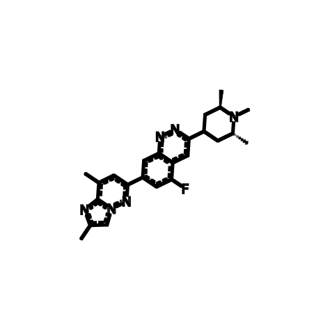 Cc1cn2nc(-c3cc(F)c4cc(C5C[C@@H](C)N(C)[C@H](C)C5)nnc4c3)cc(C)c2n1